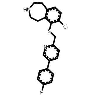 Fc1ccc(-c2ccc(CSc3c(Cl)ccc4c3CCNCC4)nc2)cc1